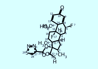 C[C@@H]1C[C@H]2[C@@H]3C[C@H](F)C4=CC(=O)C=C[C@]4(C)[C@@]3(F)[C@@H](O)C[C@]2(C)[C@@]1(OC(=O)c1csnn1)C(=O)S